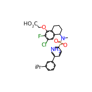 C=C(/C=C\C(=C/N)c1cccc(C(C)C)c1)S(=O)(=O)N(C)C1CCCc2c1cc(Cl)c(F)c2OCC(=O)O